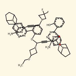 CCOC1CN(C(C#Cc2cc(N3C4CCC3CN(c3cc(-c5ccccc5O)nnc3N)C4)ccn2)Oc2ccccc2-c2cc(N3CC4CCC(C3)N4c3ccnc(C#CCN4CC(F)(F)C4)c3)c(N)nn2)C1